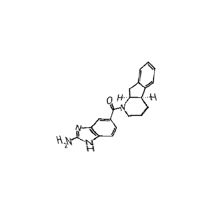 Nc1nc2cc(C(=O)N3CCC[C@@H]4c5ccccc5C[C@@H]43)ccc2[nH]1